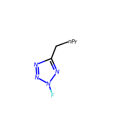 CCCCc1nnn(F)n1